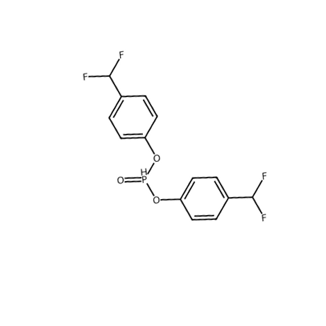 O=[PH](Oc1ccc(C(F)F)cc1)Oc1ccc(C(F)F)cc1